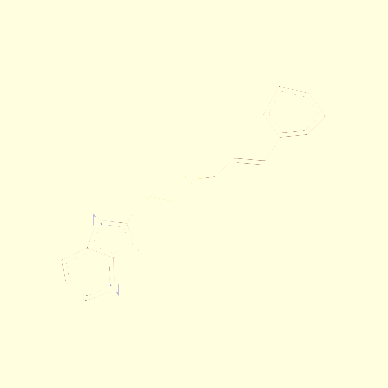 C(=C\c1ccccc1)/CSSSc1nc2cccnc2s1